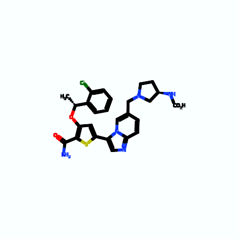 C[C@@H](Oc1cc(-c2cnc3ccc(CN4CC[C@@H](NC(=O)O)C4)cn23)sc1C(N)=O)c1ccccc1Cl